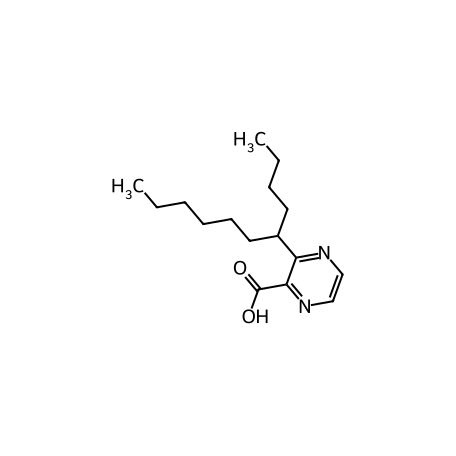 CCCCCCC(CCCC)c1nccnc1C(=O)O